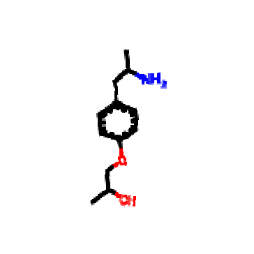 CC(N)Cc1ccc(OCC(C)O)cc1